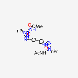 CCCN(Cc1ncc(-c2ccc(-c3ccc(-c4cnc(CN(CCC)C(=O)CNC(=O)OC)[nH]4)cc3)cc2)[nH]1)C(=O)CNC(C)=O